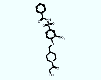 O=C(NS(=O)(=O)c1ccc(OCC2CCN(C(=O)CO)CC2)c([N+](=O)[O-])c1)c1ccccc1